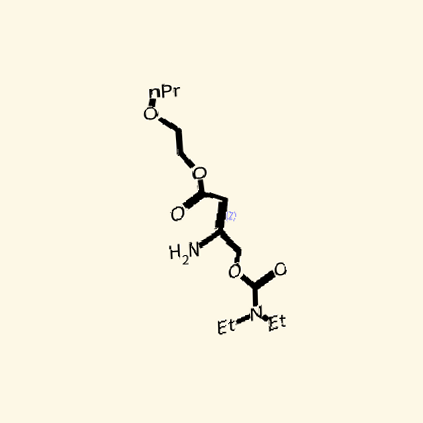 CCCOCCOC(=O)/C=C(\N)COC(=O)N(CC)CC